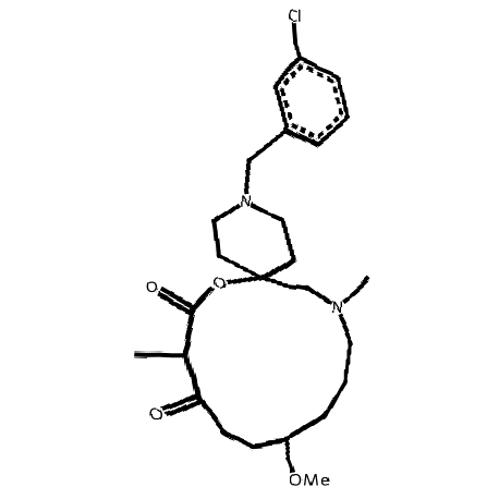 COC1CCCN(C)CC2(CCN(Cc3cccc(Cl)c3)CC2)OC(=O)C(C)C(=O)CC1